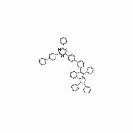 C1=CCCC(C2CN3C(c4ccccc4)=C(C4C=CC=C(c5ccc(-c6nc(-c7ccccc7)nc(C7C=CC(c8ccccc8)=CC7)n6)cc5)C4)c4ccccc4C3C2c2ccccc2)=C1